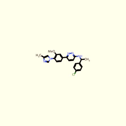 COc1cc(-c2ccc(NC(C)c3ccc(Cl)cc3)nn2)ccc1-n1cnc(C)c1